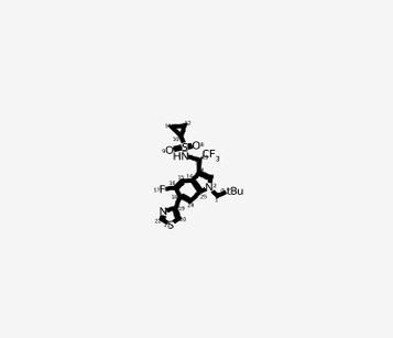 CC(C)(C)Cn1cc([C@H](NS(=O)(=O)C2CC2)C(F)(F)F)c2cc(F)c(-c3cscn3)cc21